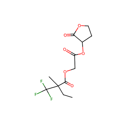 CCC(C)(C(=O)OCC(=O)OC1CCOC1=O)C(F)(F)F